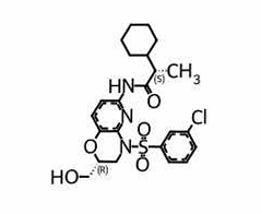 C[C@H](C(=O)Nc1ccc2c(n1)N(S(=O)(=O)c1cccc(Cl)c1)C[C@H](CO)O2)C1CCCCC1